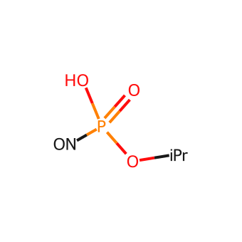 CC(C)OP(=O)(O)N=O